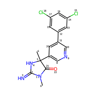 CN1C(=N)NC(C)(c2cncc(-c3cc(Cl)cc(Cl)c3)c2)C1=O